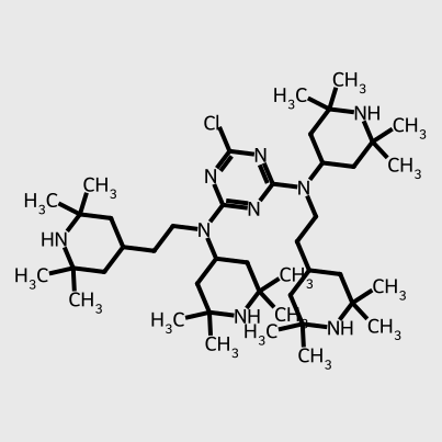 CC1(C)CC(CCN(c2nc(Cl)nc(N(CCC3CC(C)(C)NC(C)(C)C3)C3CC(C)(C)NC(C)(C)C3)n2)C2CC(C)(C)NC(C)(C)C2)CC(C)(C)N1